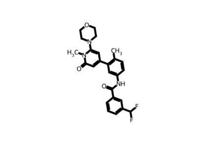 Cc1ccc(NC(=O)c2cccc(C(F)F)c2)cc1-c1cc(N2CCOCC2)n(C)c(=O)c1